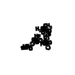 Cc1cc(=O)n(-c2ccc(C[C@H](NC(=O)c3cc(F)c(NS(=O)(=O)c4ccc(C(=O)NC(C)(C)C)cc4)cc3F)C(=O)OC3CCCCC3)cn2)c(=O)n1C